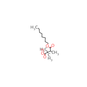 CCCCCCCCOC(=O)C(C)C(C)(C)C(=O)O